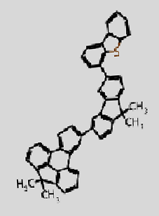 CC1(C)c2ccc(-c3ccc4c(c3)c3cccc5c3c3c(cccc43)C5(C)C)cc2-c2cc(-c3cccc4c3SC3C=CC=CC43)ccc21